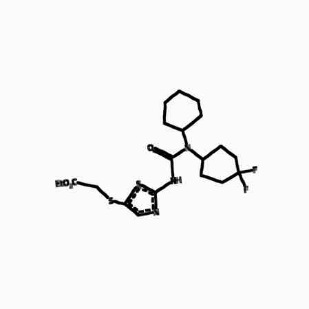 CCOC(=O)CSc1cnc(NC(=O)N(C2CCCCC2)C2CCC(F)(F)CC2)s1